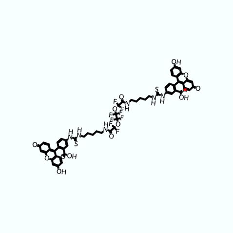 O=C(O)c1cc(NC(=S)NCCCCCNC(=O)C(F)(F)OC(F)(F)C(F)(F)OC(F)(F)C(=O)NCCCCCNC(=S)Nc2ccc(-c3c4ccc(=O)cc-4oc4cc(O)ccc34)c(C(=O)O)c2)ccc1-c1c2ccc(=O)cc-2oc2cc(O)ccc12